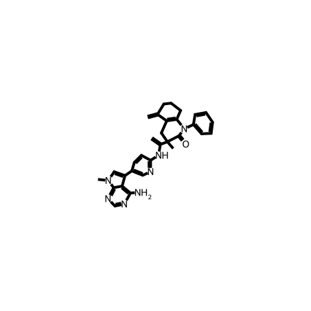 C=C1CCCC2=C1CC(C)(C(=C)Nc1ccc(-c3cn(C)c4ncnc(N)c34)cn1)C(=O)N2c1ccccc1